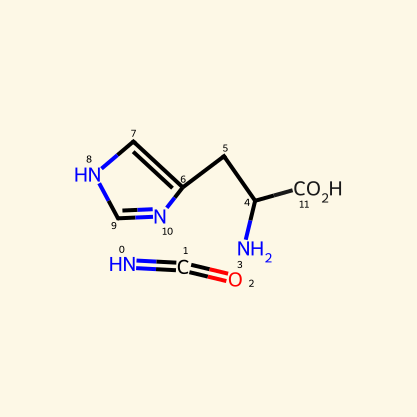 N=C=O.NC(Cc1c[nH]cn1)C(=O)O